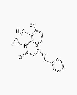 Cc1c(Br)ccc2c(OCc3ccccc3)cc(=O)n(C3CC3)c12